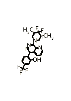 C[C@@H]1CN(c2nnc(-c3ccc(C(F)(F)F)cc3O)c3cccnc23)C[C@H](C)C1(F)F